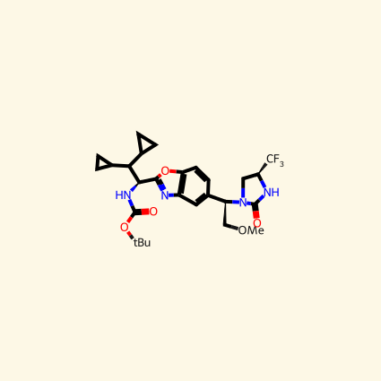 COC[C@@H](c1ccc2oc([C@@H](NC(=O)OC(C)(C)C)C(C3CC3)C3CC3)nc2c1)N1C[C@@H](C(F)(F)F)NC1=O